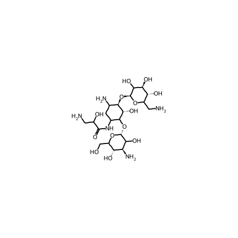 NCC(O)C(=O)NC1CC(N)[C@@H](O[C@@H]2OC(CN)[C@@H](O)[C@H](O)C2O)[C@H](O)C1O[C@H]1OC(CO)[C@@H](O)[C@H](N)C1O